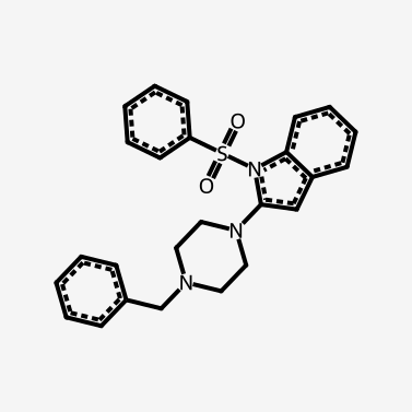 O=S(=O)(c1ccccc1)n1c(N2CCN(Cc3ccccc3)CC2)cc2ccccc21